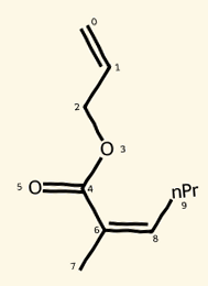 C=CCOC(=O)C(C)=CCCC